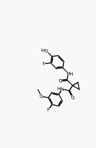 COc1cc(NC(=O)C2(C(=O)Nc3ccc(O)c(F)c3)CC2)ccc1F